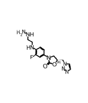 NNCCNc1ccc(N2C[C@H](Cn3ccnn3)OC2=O)cc1F